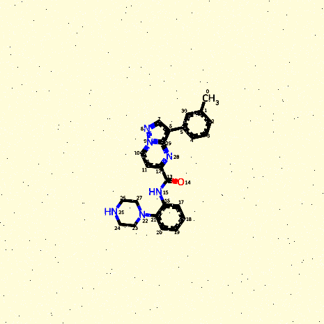 Cc1cccc(-c2cnn3ccc(C(=O)Nc4ccccc4N4CCNCC4)nc23)c1